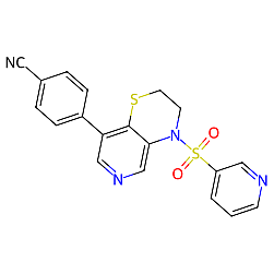 N#Cc1ccc(-c2cncc3c2SCCN3S(=O)(=O)c2cccnc2)cc1